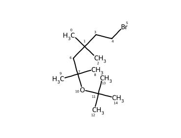 CC(C)(CCBr)CC(C)(C)OC(C)(C)C